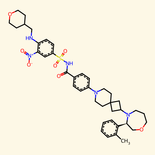 Cc1ccccc1[C@@H]1COCCCN1C1CC2(CCN(c3ccc(C(=O)NS(=O)(=O)c4ccc(NCC5CCOCC5)c([N+](=O)[O-])c4)cc3)CC2)C1